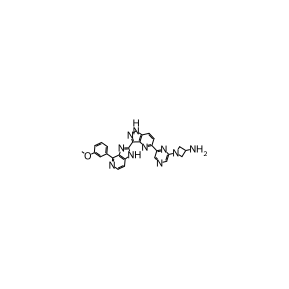 COc1cccc(-c2nccc3[nH]c(-c4n[nH]c5ccc(-c6cncc(N7CC(N)C7)n6)nc45)nc23)c1